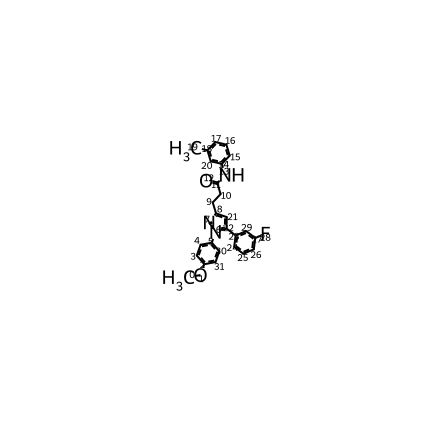 COc1ccc(-n2nc(CCC(=O)Nc3cccc(C)c3)cc2-c2cccc(F)c2)cc1